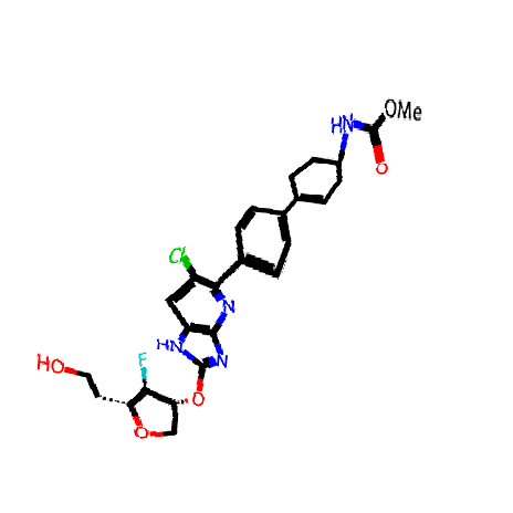 COC(=O)NC1CC=C(c2ccc(-c3nc4nc(O[C@@H]5CO[C@H](CCO)[C@H]5F)[nH]c4cc3Cl)cc2)CC1